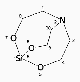 C1CN2CCO[Si](O1)OCC2